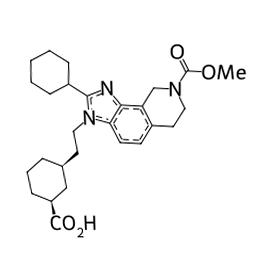 COC(=O)N1CCc2ccc3c(nc(C4CCCCC4)n3CC[C@@H]3CCC[C@H](C(=O)O)C3)c2C1